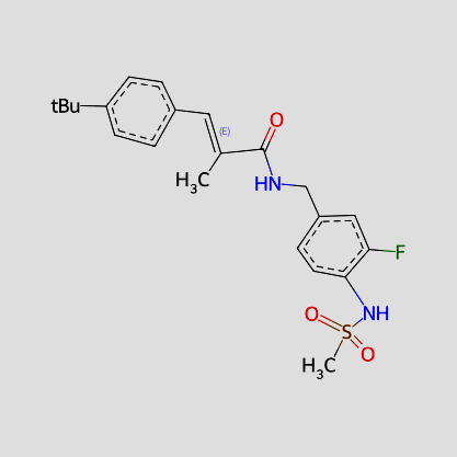 C/C(=C\c1ccc(C(C)(C)C)cc1)C(=O)NCc1ccc(NS(C)(=O)=O)c(F)c1